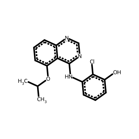 CC(C)Oc1cccc2ncnc(Nc3cccc(O)c3Cl)c12